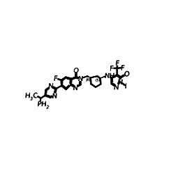 CC(P)c1cnc(-c2cc3ncn(C[C@@H]4CCC[C@H](Nc5cnn(I)c(=O)c5C(F)(F)F)C4)c(=O)c3cc2F)nc1